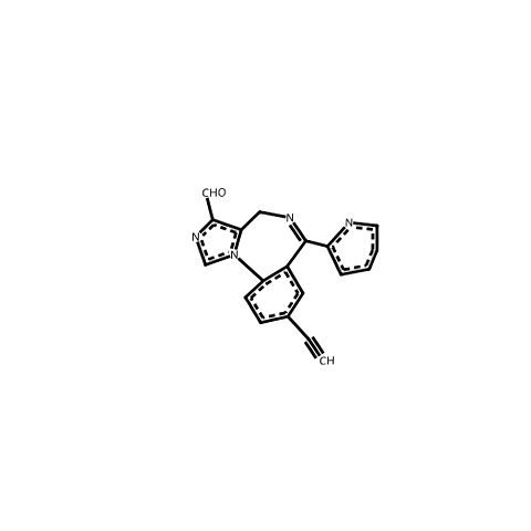 C#Cc1ccc2c(c1)C(c1ccccn1)=NCc1c(C=O)ncn1-2